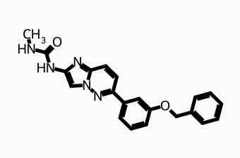 CNC(=O)Nc1cn2nc(-c3cccc(OCc4ccccc4)c3)ccc2n1